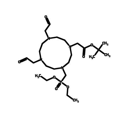 CCOP(=O)(CN1CCN(CC=O)CCN(CC=O)CCN(CC(=O)OC(C)(C)C)CC1)OCC